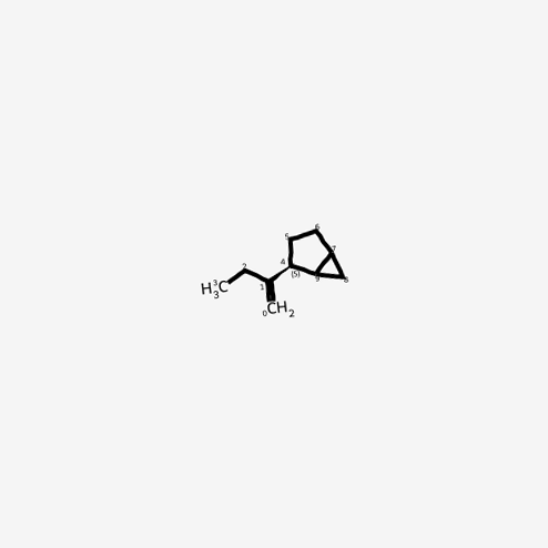 C=C(CC)[C@H]1CCC2CC21